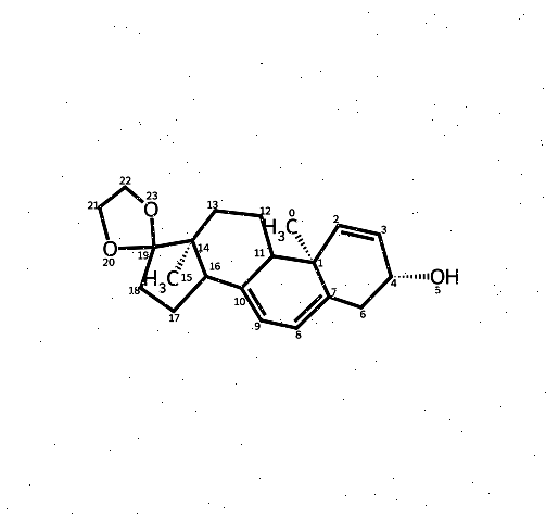 C[C@]12C=C[C@H](O)CC1=CC=C1C2CC[C@@]2(C)C1CCC21OCCO1